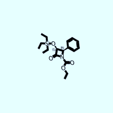 CCOC(=O)N1C(=O)[C@@H](O[Si](CC)(CC)CC)[C@H]1c1ccccc1